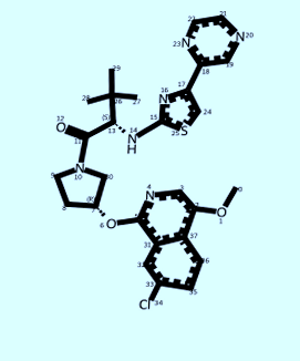 COc1cnc(O[C@@H]2CCN(C(=O)[C@@H](Nc3nc(-c4cnccn4)cs3)C(C)(C)C)C2)c2cc(Cl)ccc12